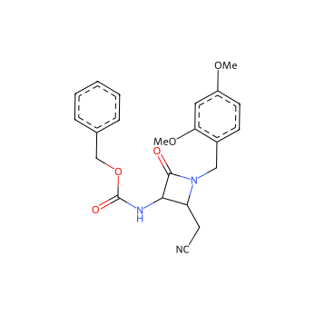 COc1ccc(CN2C(=O)C(NC(=O)OCc3ccccc3)C2CC#N)c(OC)c1